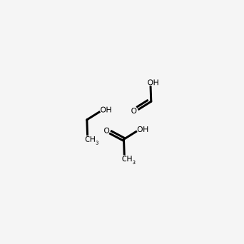 CC(=O)O.CCO.O=CO